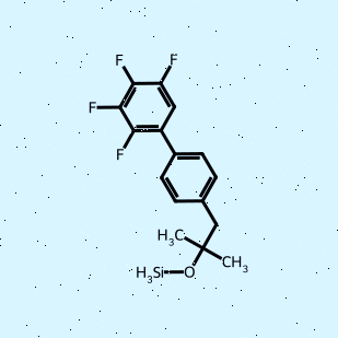 CC(C)(Cc1ccc(-c2cc(F)c(F)c(F)c2F)cc1)O[SiH3]